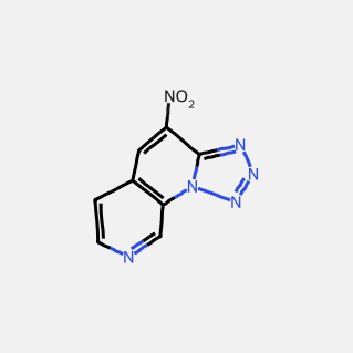 O=[N+]([O-])c1cc2ccncc2n2nnnc12